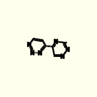 [c]1nncc(-c2ccnnn2)n1